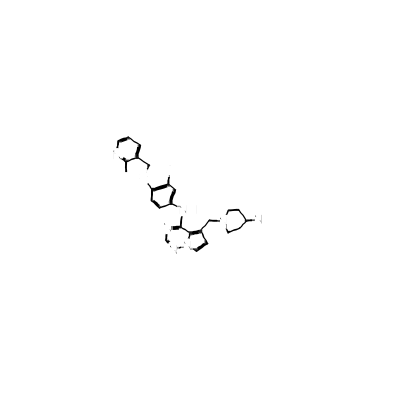 Cc1ncccc1COc1ccc(Nc2ncnn3ccc(CN4CCC(N)CC4)c23)cc1Cl